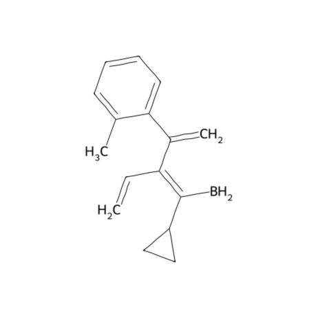 B/C(=C(/C=C)C(=C)c1ccccc1C)C1CC1